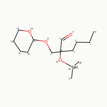 CCCCC(C=O)(COC1CCCCO1)O[SiH](C)C